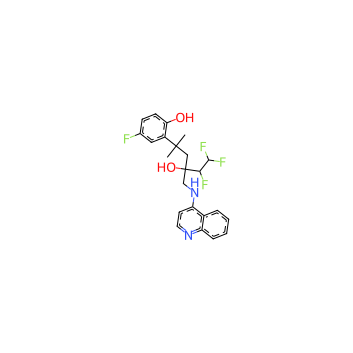 CC(C)(CC(O)(CNc1ccnc2ccccc12)C(F)C(F)F)c1cc(F)ccc1O